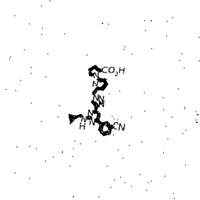 N#Cc1cccc(-c2cc(-c3cn(Cc4cccc(N5CCCC5C(=O)O)n4)nn3)nc(NCC3CC3)n2)c1